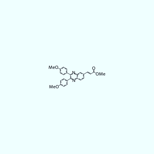 COC(=O)/C=C/c1ccc2nc(-c3ccc(OC)cc3)c(-c3ccc(OC)cc3)nc2c1